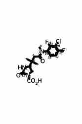 CN(C(=O)CC(C)(C)C1CN(C(=O)O)C(=O)N1)c1ccc(F)c(Cl)c1F